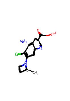 C[C@H]1CCN1c1cc2ncc(C(=O)O)cc2cc1Cl.N